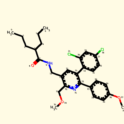 CCCC(CCC)C(=O)NCc1cc(-c2ccc(Cl)cc2Cl)c(-c2ccc(OC)cc2)nc1COC